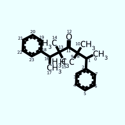 CC(c1ccccc1)C(C)(C)C(=O)C(C)(C)C(C)c1ccccc1